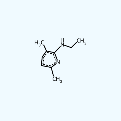 CCNc1nc(C)ccc1C